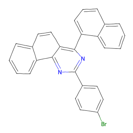 Brc1ccc(-c2nc(-c3cccc4ccccc34)c3ccc4ccccc4c3n2)cc1